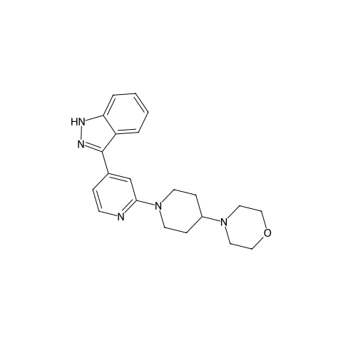 c1ccc2c(-c3ccnc(N4CCC(N5CCOCC5)CC4)c3)n[nH]c2c1